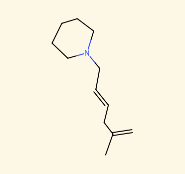 C=C(C)CC=CCN1CCCCC1